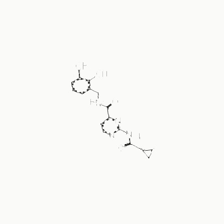 Cc1c(CNC(=O)c2ccnc(NC(=O)C3CC3)n2)cccc1C(F)(F)F